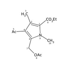 CCOC(=O)c1c(C)c(C(C)=O)c(COC(C)=O)n1C